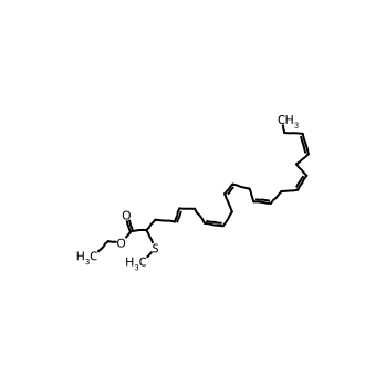 CC/C=C\C/C=C\C/C=C\C/C=C\C/C=C\C/C=C/CC(SC)C(=O)OCC